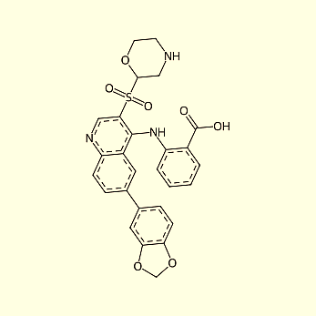 O=C(O)c1ccccc1Nc1c(S(=O)(=O)C2CNCCO2)cnc2ccc(-c3ccc4c(c3)OCO4)cc12